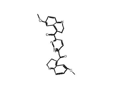 COc1ccc2c(c1)=C(C(=O)c1ccc(C(=O)C3=c4cc(OC)ccc4=NCC3)nn1)CCN=2